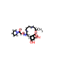 C[C@@H]1C/C=C/CC/C=C/C(=N\OCC(=O)N2CCCCC2)Cc2cc(O)cc(O)c2C(=O)O1